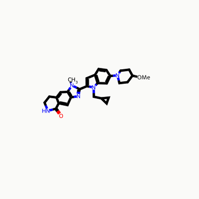 COC1CCN(c2ccc3cc(-c4nc5cc6c(cc5n4C)CCNC6=O)n(CC4CC4)c3c2)CC1